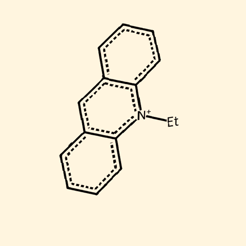 CC[n+]1c2ccccc2cc2ccccc21